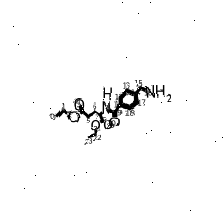 CCOC(=O)CC[C@@H](NC(=O)c1ccc(CN)cc1)C(=O)OCC